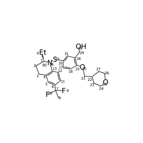 CC[C@@H]1CCc2cc(C(C)(F)F)ccc2N1Sc1ccc(OCC2CCOCC2)c(CO)c1